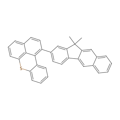 CC1(C)c2cc(-c3ccc4cccc5c4c3-c3ccccc3S5)ccc2-c2cc3ccccc3cc21